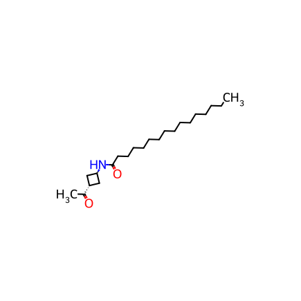 CCCCCCCCCCCCCCCC(=O)N[C@H]1C[C@H](C(C)=O)C1